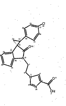 O=C(O)c1cn(CCN2C(=O)[C@@]3(CC3c3ccc(Cl)cc3)c3ccccc32)cn1